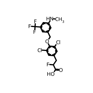 CNc1cc(COc2c(Cl)cc(CC(F)C(=O)O)cc2Cl)cc(C(F)(F)F)c1